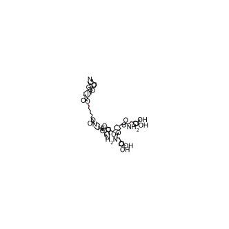 N[C@@H](Cc1ccc(O)c(O)c1)C(=O)OCC1CCC(C(OC(=O)[C@@H](N)Cc2ccc(O)c(O)c2)c2ccc(S(=O)(=O)N3CCCN(C(=O)OCCCCCCCOC(=O)N4CCCN(S(=O)(=O)c5cccc6cnccc56)CC4)CC3)c3ccncc23)CC1